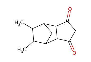 CC1C(C)C2CC1C1C(=O)CC(=O)C21